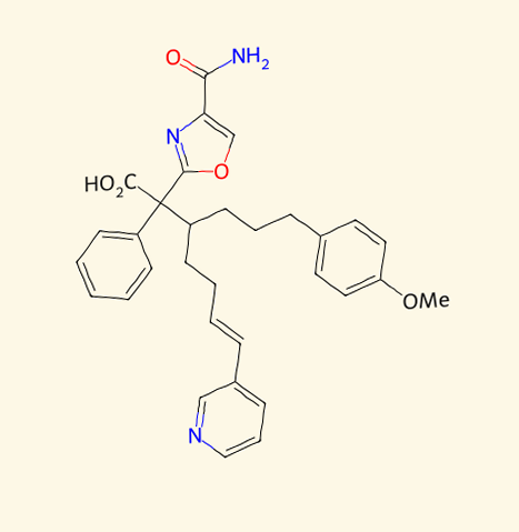 COc1ccc(CCCC(CCC=Cc2cccnc2)C(C(=O)O)(c2ccccc2)c2nc(C(N)=O)co2)cc1